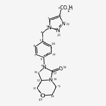 O=C(O)c1cn(Cc2ccc(N3CC4COCCN4C3=O)cc2)nn1